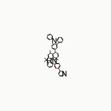 Cc1cccc2c1C1(C)C(=CC(C)C3=C1C(C)(Nc1ccc(-c4cccnc4)cc1)C=CC3c1ccc3c(c1)c1ccccc1n3-c1ccccc1)C2(C)C